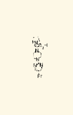 CCc1cnc(N2CCN(C3CC4CCC(C3)N4C(=O)O)CC2)nc1